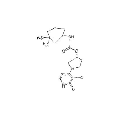 CC1(C)CCCC(NC(=O)O[C@@H]2CCN(c3cn[nH]c(=O)c3Cl)C2)C1